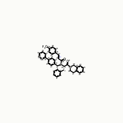 O=C([C@H](Cc1ccccc1)N(Cc1ccc(-c2cccnn2)cc1)C(=O)/C=C/c1ccc(C(F)(F)F)cc1)N1CCc2ccccc2C1